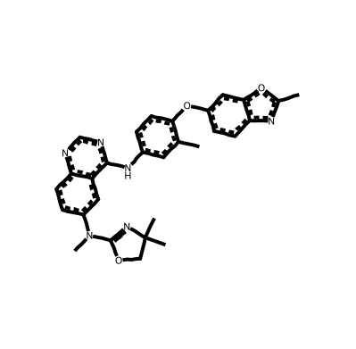 Cc1nc2ccc(Oc3ccc(Nc4ncnc5ccc(N(C)C6=NC(C)(C)CO6)cc45)cc3C)cc2o1